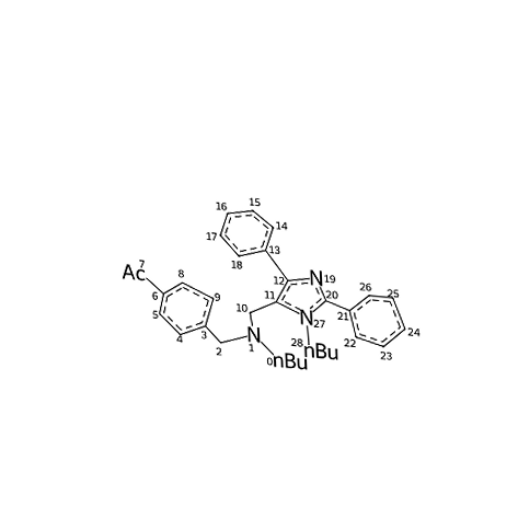 CCCCN(Cc1ccc(C(C)=O)cc1)Cc1c(-c2ccccc2)nc(-c2ccccc2)n1CCCC